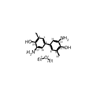 CCOCC.Cc1cc(-c2cc(C)c(O)c(N)c2)cc(N)c1O